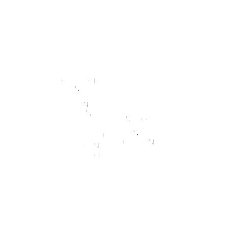 CCc1c(-c2cc(Cc3cc4n(n3)CC(C)N(C)C4)c(=O)n(C)c2)ccnc1N1CCn2c(cc3c2CCCC3)C1=O